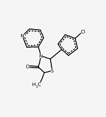 CC1SC(c2ccc(Cl)cc2)N(c2cccnc2)C1=O